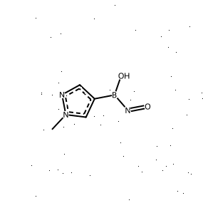 Cn1cc(B(O)N=O)cn1